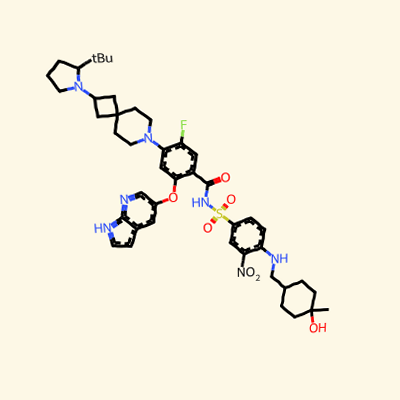 CC1(O)CCC(CNc2ccc(S(=O)(=O)NC(=O)c3cc(F)c(N4CCC5(CC4)CC(N4CCCC4C(C)(C)C)C5)cc3Oc3cnc4[nH]ccc4c3)cc2[N+](=O)[O-])CC1